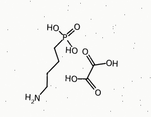 NCCCCP(=O)(O)O.O=C(O)C(=O)O